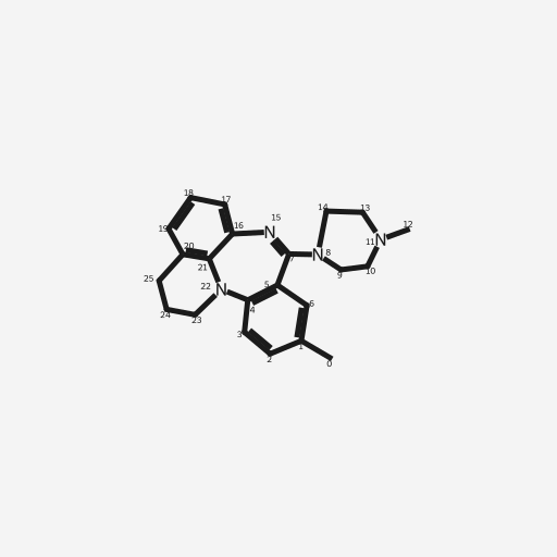 Cc1ccc2c(c1)C(N1CCN(C)CC1)=Nc1cccc3c1N2CCC3